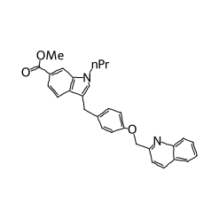 CCCn1cc(Cc2ccc(OCc3ccc4ccccc4n3)cc2)c2ccc(C(=O)OC)cc21